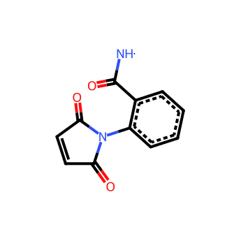 [NH]C(=O)c1ccccc1N1C(=O)C=CC1=O